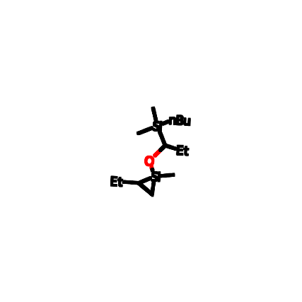 CCCC[Si](C)(C)C(CC)O[Si]1(C)CC1CC